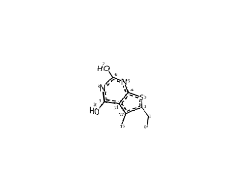 CCc1sc2nc(O)nc(O)c2c1C